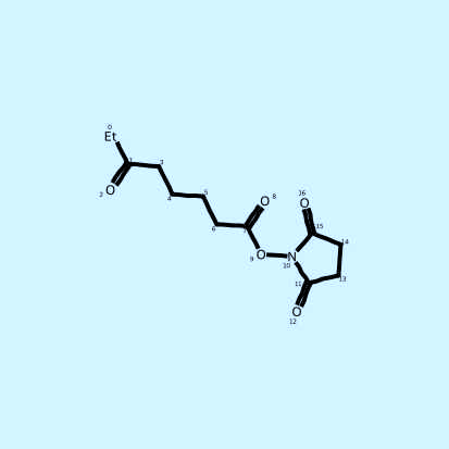 CCC(=O)CCCCC(=O)ON1C(=O)CCC1=O